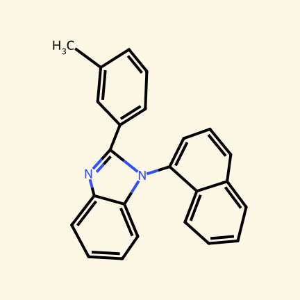 Cc1cccc(-c2nc3ccccc3n2-c2cccc3ccccc23)c1